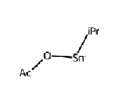 CC(=O)[O][Sn][CH](C)C